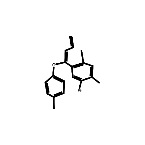 C=C/C=C(/Oc1ccc(C)cc1)c1cc(CC)c(C)cc1C